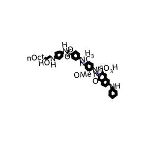 CCCCCCCCC(O)CNc1ccc(NS(=O)(=O)c2ccc(/N=N/c3cc(OC)c(N/N=C4/C(=O)c5ccc(Nc6ccccc6)cc5C=C4S(=O)(=O)O)cc3C)cc2)cc1